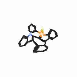 Cn1c2ccccc2c2c3ccccc3c3c(c21)P(=S)(c1ccccc1)c1ccccc1-3